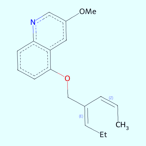 C/C=C\C(=C/CC)COc1cccc2ncc(OC)cc12